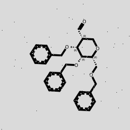 O=C[C@@H]1CO[C@H](COCc2ccccc2)[C@H](OCc2ccccc2)[C@@H]1OCc1ccccc1